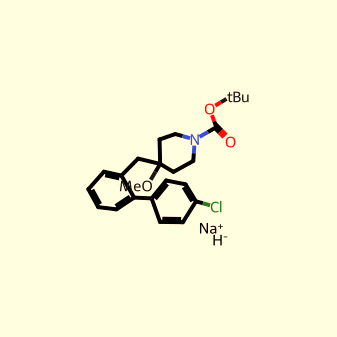 COC1(Cc2ccccc2-c2ccc(Cl)cc2)CCN(C(=O)OC(C)(C)C)CC1.[H-].[Na+]